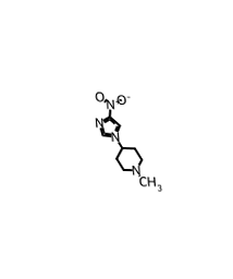 CN1CCC(n2cnc([N+](=O)[O-])c2)CC1